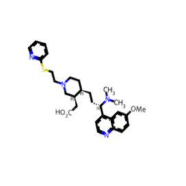 COc1ccc2nccc([C@H](CC[C@@H]3CCN(CCSc4ccccn4)C[C@@H]3CC(=O)O)N(C)C)c2c1